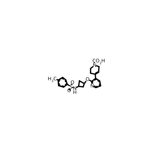 Cc1ccc(S(=O)(=O)NC2CC(Oc3ncccc3C3=CCN(C(=O)O)CC3)C2)cc1